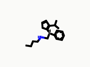 CCCCNC[SiH](C1=C(C(C)C)C=CC1)c1ccccc1